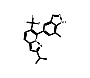 Cc1cc(-c2c(C(F)(F)F)ccc3cc(C(C)C)nn23)cc2cn[nH]c12